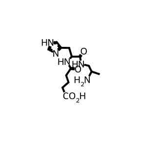 CC(N)CNC(=O)C(Cc1c[nH]cn1)NC(=O)CCCC(=O)O